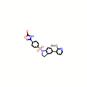 COc1ncccc1-c1ccc2c(c1)CCN2S(=O)(=O)c1ccc(-c2noc(=O)[nH]2)cc1